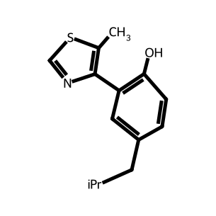 Cc1scnc1-c1cc(CC(C)C)ccc1O